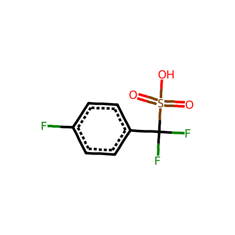 O=S(=O)(O)C(F)(F)c1ccc(F)cc1